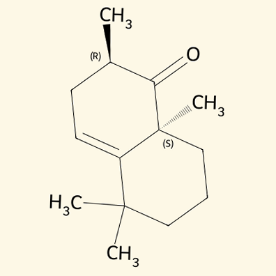 C[C@@H]1CC=C2C(C)(C)CCC[C@]2(C)C1=O